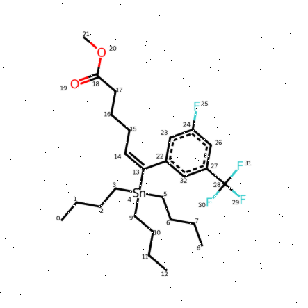 CCC[CH2][Sn]([CH2]CCC)([CH2]CCC)/[C](=C/CCCC(=O)OC)c1cc(F)cc(C(F)(F)F)c1